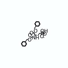 COP(=O)(O)CC[C@H](NC(=O)OCc1ccccc1)C(=O)OCc1ccccc1